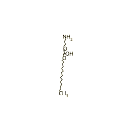 CCCCCCCCCCCCCCCCOC[C@H](O)COCCCCN